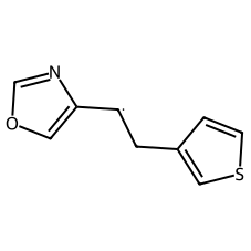 [CH](Cc1ccsc1)c1cocn1